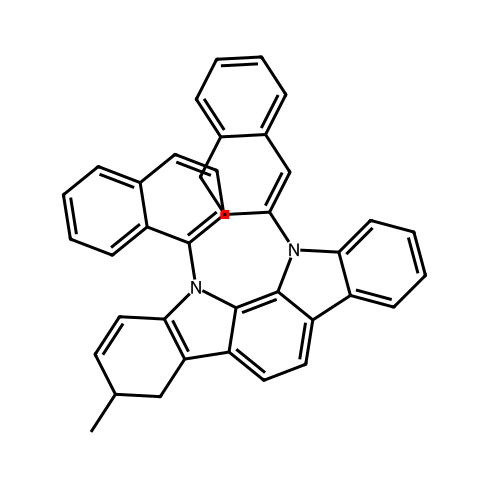 CC1C=Cc2c(c3ccc4c5ccccc5n(C5=Cc6ccccc6CC5)c4c3n2-c2cccc3ccccc23)C1